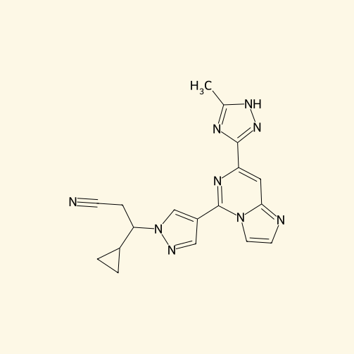 Cc1nc(-c2cc3nccn3c(-c3cnn(C(CC#N)C4CC4)c3)n2)n[nH]1